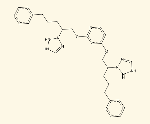 C1=NN(C(CCCc2ccccc2)COc2ccnc(OCC(CCCc3ccccc3)N3N=CNN3)c2)NN1